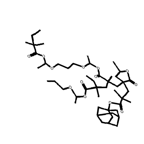 CCCOC(C)OC(=O)C(C)(CC)CC(C)(CC1(CC(C)(C)C(=O)OC23CC4CC(CC(C4)C2)C3)CC(C)OC1=O)C(=O)OC(C)OCCCOC(C)OC(=O)C(C)(C)CC